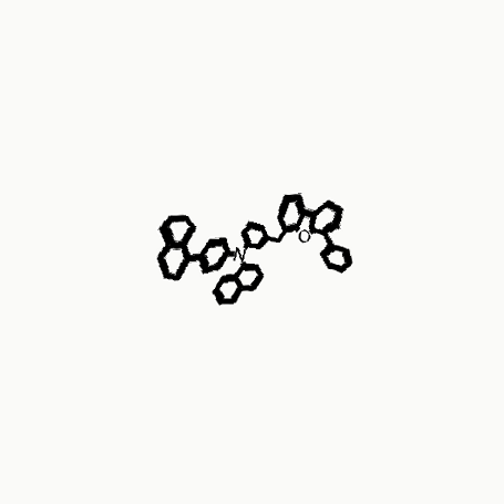 C1=C(c2ccccc2)c2oc3c(Cc4cccc(N(c5ccc(-c6cccc7ccccc67)cc5)c5cccc6ccccc56)c4)cccc3c2CC1